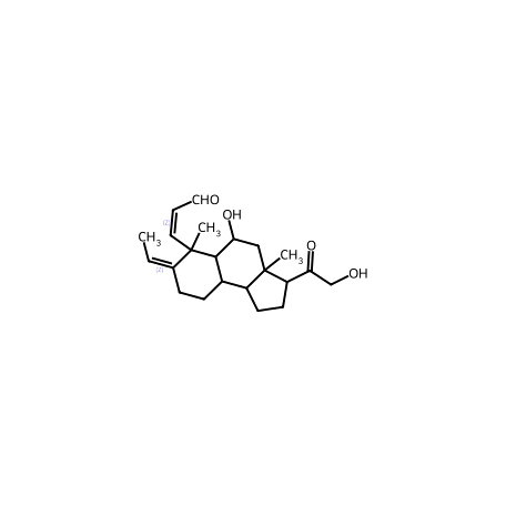 C/C=C1/CCC2C(C(O)CC3(C)C(C(=O)CO)CCC23)C1(C)/C=C\C=O